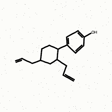 C=CCC1CCC(c2ccc(O)cc2)C(CC=C)C1